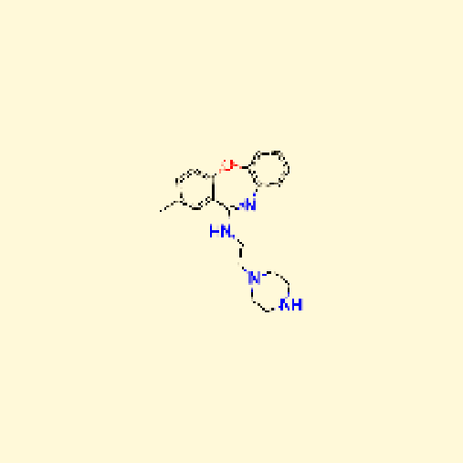 Cc1ccc2c(c1)C(NCCN1CCNCC1)=Nc1ccccc1O2